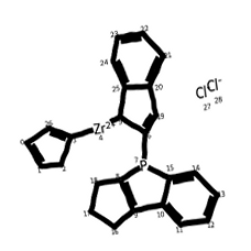 C1=CC[C]([Zr+2][CH]2C(p3c4c(c5ccccc53)CCC4)=Cc3ccccc32)=C1.[Cl-].[Cl-]